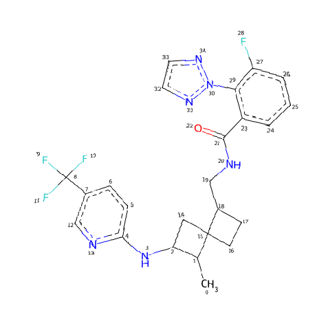 CC1C(Nc2ccc(C(F)(F)F)cn2)CC12CCC2CNC(=O)c1cccc(F)c1-n1nccn1